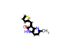 Cc1ccc2c(n1)C(=Cc1cccs1)C(=O)N2